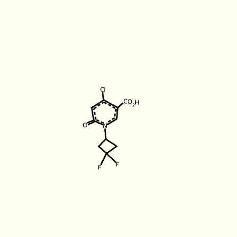 O=C(O)c1cn(C2CC(F)(F)C2)c(=O)cc1Cl